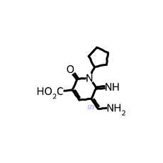 N=C1/C(=C\N)C=C(C(=O)O)C(=O)N1C1CCCC1